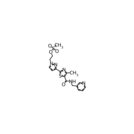 Cc1nc(-c2ccn(CCOS(C)(=O)=O)n2)sc1C(=O)NCc1cccnc1